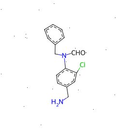 NCc1ccc(N([C]=O)Cc2ccccc2)c(Cl)c1